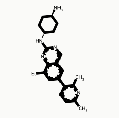 CCc1cc(-c2ccc(C)nc2C)cc2cnc(N[C@H]3CC[C@H](N)CC3)nc12